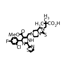 COC(=O)C1=C(CN2CCN3C(=S)N(CC(C)(C)C(=O)O)CC3C2)NC(c2nccs2)=NC1c1ccc(F)cc1Cl